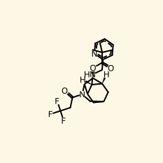 CC(C)(C)C(=O)O[C@@H]1C2C3CC(C[C@@H]1[C@H]3NCc1ccccn1)CN2C(=O)CC(F)(F)F